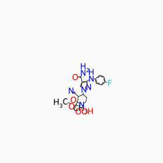 CCOC1(C(C)=O)C(C#N)C(n2cc(C(N)=O)c(Nc3ccc(F)cc3)n2)CCN1C(=O)O